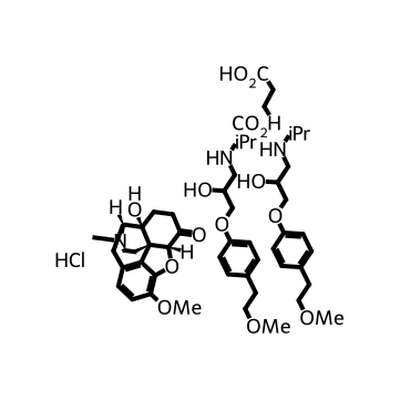 COCCc1ccc(OCC(O)CNC(C)C)cc1.COCCc1ccc(OCC(O)CNC(C)C)cc1.COc1ccc2c3c1O[C@H]1C(=O)CC[C@@]4(O)[C@@H](C2)N(C)CC[C@]314.Cl.O=C(O)CCC(=O)O